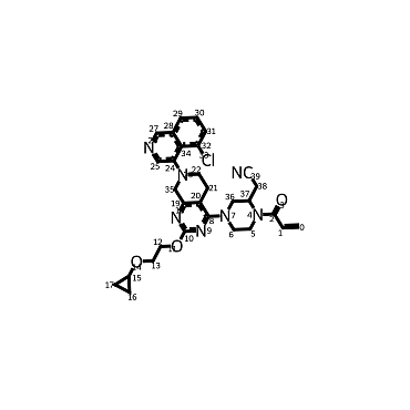 C=CC(=O)N1CCN(c2nc(OCCOC3CC3)nc3c2CCN(c2cncc4cccc(Cl)c24)C3)CC1CC#N